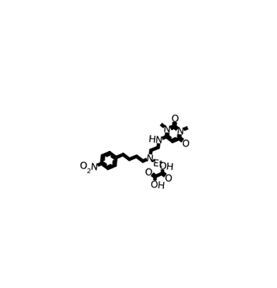 CCN(CCCCc1ccc([N+](=O)[O-])cc1)CCNc1cc(=O)n(C)c(=O)n1C.O=C(O)C(=O)O